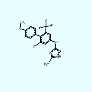 COc1ccc(-c2c(Cl)cc(Nc3n[nH]c(N)n3)cc2C(F)(F)F)cc1